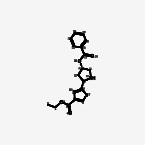 CCOC(=O)c1csc([C@H]2C[C@H](OC(=O)c3ccccc3)CN2)n1